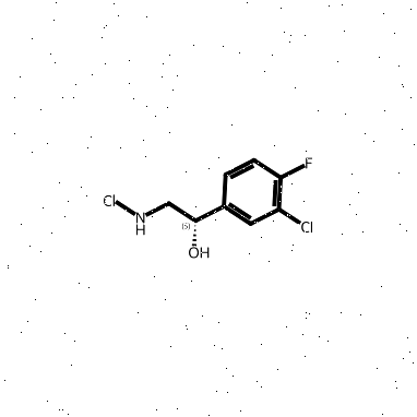 O[C@H](CNCl)c1ccc(F)c(Cl)c1